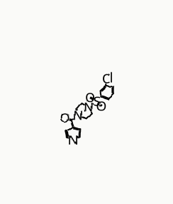 O=C(c1ccncc1)N1CCN(S(=O)(=O)c2cccc(Cl)c2)CC1